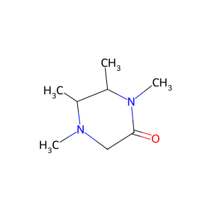 CC1C(C)N(C)C(=O)CN1C